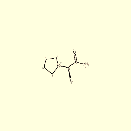 CC[C@H](C(N)=O)N1CCCC1